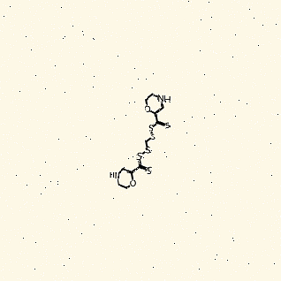 S=C(SSCSSC(=S)C1CNCCO1)C1CNCCO1